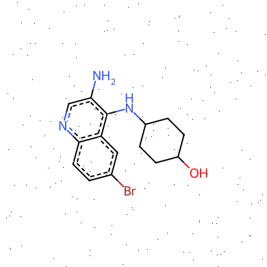 Nc1cnc2ccc(Br)cc2c1NC1CCC(O)CC1